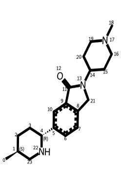 C[C@H]1CC[C@H](c2ccc3c(c2)C(=O)N(C2CCN(C)CC2)C3)NC1